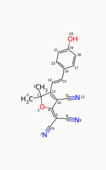 CC1(C)OC(=C(C#N)C#N)C(C#N)=C1C=Cc1ccc(O)cc1